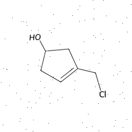 OC1CC=C(CCl)C1